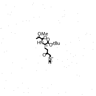 CO[C@@H](C)C(=O)N[C@@H](CCC(=O)C=[N+]=[N-])C(=O)OC(C)(C)C